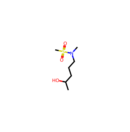 CC(O)CCCN(C)S(C)(=O)=O